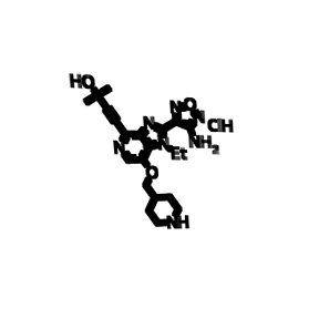 CCn1c(-c2nonc2N)nc2c(C#CC(C)(C)O)ncc(OCC3CCNCC3)c21.Cl